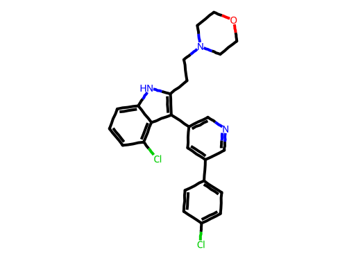 Clc1ccc(-c2cncc(-c3c(CCN4CCOCC4)[nH]c4cccc(Cl)c34)c2)cc1